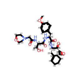 COc1ccc(C[C@H](NC(=O)[C@@H](NC(=O)CN2CCOCC2)[C@H](C)O)C(=O)N[C@@H](CC2=CCCCC2)C(=O)[C@H]2CO2)cc1